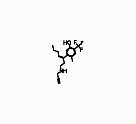 C#CCNCC/C(=C/CCC)c1cc(O)c(C(F)(F)F)cc1C